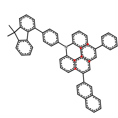 CC1(C)c2ccccc2-c2c(-c3ccc(N(c4ccccc4-c4ccc(-c5ccccc5)cc4)c4ccccc4-c4ccc(-c5ccc6ccccc6c5)cc4)cc3)cccc21